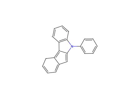 [c]1cccc2c1c1c(n2-c2ccccc2)=CC2=CC=CCC=12